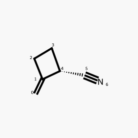 C=C1CC[C@@H]1C#N